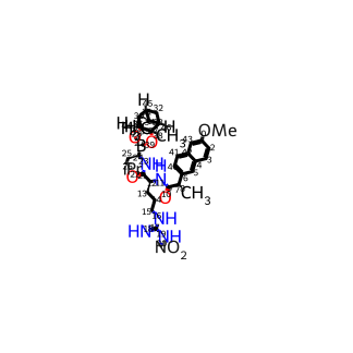 COc1ccc2cc([C@H](C)C(=O)N[C@@H](CCCNC(=N)N[N+](=O)[O-])C(=O)N[C@@H](CC(C)C)B3O[C@@H]4C[C@@H]5C[C@@H](C5(C)C)[C@]4(C)O3)ccc2c1